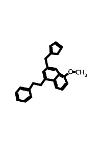 COc1cccc2c(CCc3ccccc3)cc(CC3=CC=CC3)cc12